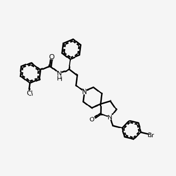 O=C(NC(CCN1CCC2(CC1)CCN(Cc1ccc(Br)cc1)C2=O)c1ccccc1)c1cccc(Cl)c1